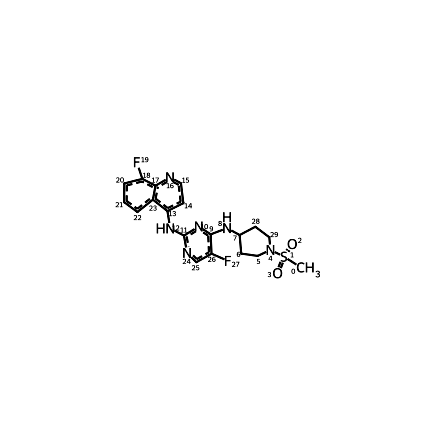 CS(=O)(=O)N1CCC(Nc2nc(Nc3ccnc4c(F)cccc34)ncc2F)CC1